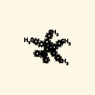 Cc1ccc(-c2ccc3c(c2)c2cc(-c4ccc(C)cc4)ccc2n3-c2cc(-c3nc(-c4ccccc4)nc(-c4ccccc4)n3)cc(-n3c4ccc(-c5ccc(C)cc5)cc4c4cc(-c5ccc(C)cc5)ccc43)c2C#N)cc1